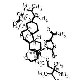 CC(C)[C@@H](C)[C@@]1(C)CC[C@]2(C)[C@H]3CC[C@@H]4[C@@]5(COC[C@]4(C)[C@@H](OC[C@](C)(N)C(C)C)[C@H](n4nc(C(N)=O)nc4Br)C5)C3=CC[C@@]2(C)[C@@H]1C(=O)O